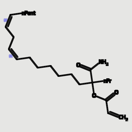 C=CC(=O)OC(CCC)(CCCCCC/C=C\C/C=C\CCCCC)C(N)=O